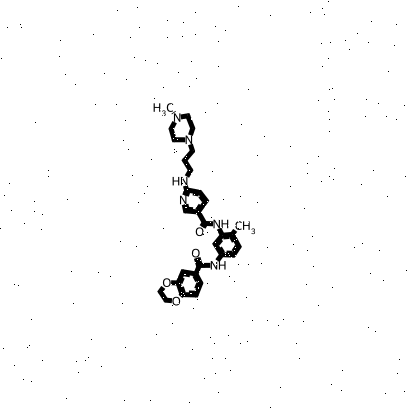 Cc1ccc(NC(=O)c2ccc3c(c2)OCCO3)cc1NC(=O)c1ccc(NCCCN2CCN(C)CC2)nc1